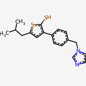 CC(C)Cc1cc(-c2ccc(Cn3ccnc3)cc2)c(S)s1